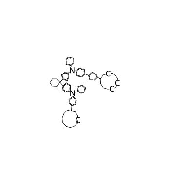 c1ccc(N(c2ccc(-c3ccc(C4CCCCCCCCCCC4)cc3)cc2)c2ccc(C3(c4ccc(N(c5ccccc5)c5ccc(C6CCCCCCCCCCC6)cc5)cc4)CCCCC3)cc2)cc1